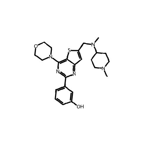 CN1CCC(N(C)Cc2cc3nc(-c4cccc(O)c4)nc(N4CCOCC4)c3s2)CC1